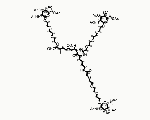 CC(=O)N[C@H]1[C@H](OCCOCCOCCOCC(=O)NCCCCC(NC(=O)COCCOCCOCCO[C@@H]2O[C@H](COC(C)=O)[C@H](OC(C)=O)[C@H](OC(C)=O)[C@H]2NC(C)=O)C(=O)NC(CCCCNC(C=O)OCCOCCOCCO[C@@H]2O[C@H](COC(C)=O)[C@H](OC(C)=O)[C@H](OC(C)=O)[C@H]2NC(C)=O)C(=O)O)O[C@H](COC(C)=O)[C@H](OC(C)=O)[C@@H]1OC(C)=O